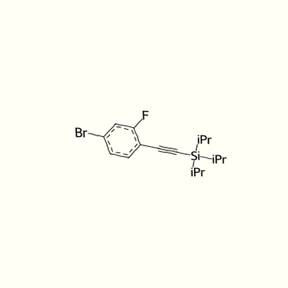 CC(C)[Si](C#Cc1ccc(Br)cc1F)(C(C)C)C(C)C